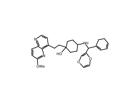 COc1ccc2nccc(CCC3(O)CCC(NC(C4=CC=CCC4)C4=COC=CO4)CC3)c2n1